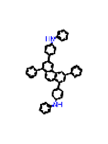 C1=CC(Nc2ccccc2)CC=C1c1cc(-c2ccccc2)cc2c1ccc1c(-c3ccccc3)cc(-c3ccc(Nc4ccccc4)cc3)cc12